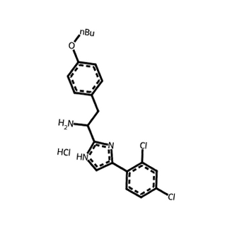 CCCCOc1ccc(CC(N)c2nc(-c3ccc(Cl)cc3Cl)c[nH]2)cc1.Cl